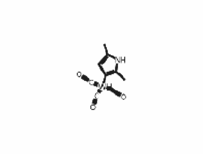 Cc1c[c]([WH](=[C]=O)(=[C]=O)=[C]=O)c(C)[nH]1